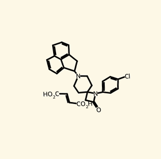 O=C(O)C=CC(=O)O.O=C1CC2(CCN(C3Cc4cccc5cccc3c45)CC2)N1c1ccc(Cl)cc1